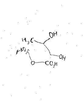 CC(O)CO.O=C(O)OC(=O)O